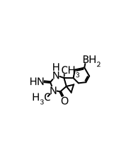 BC1=CC([C@@]2(C)NC(=N)N(C)C(=O)C23CC3)CC=C1